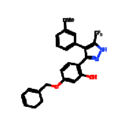 COc1cccc(-c2c(-c3ccc(OCC4=CC=CCC4)cc3O)n[nH]c2C(F)(F)F)c1